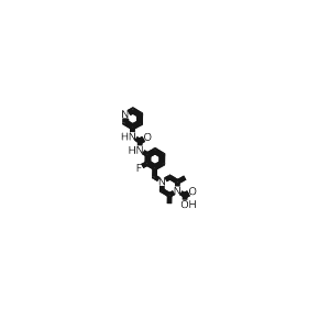 CC1CN(Cc2cccc(NC(=O)Nc3cccnc3)c2F)CC(C)N1C(=O)O